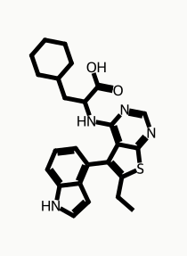 CCc1sc2ncnc(NC(CC3CCCCC3)C(=O)O)c2c1-c1cccc2[nH]ccc12